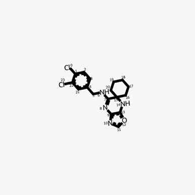 Clc1ccc(CNC2=Nc3ncoc3NC23CCCCC3)cc1Cl